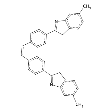 Cc1ccc2c(c1)N=C(c1ccc(/C=C\c3ccc(C4=Nc5cc(C)ccc5C4)cc3)cc1)C2